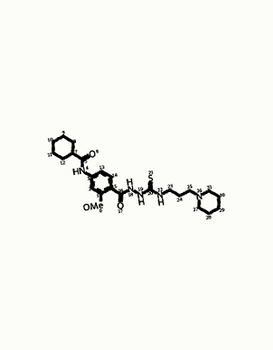 COc1cc(NC(=O)C2CCCCC2)ccc1C(=O)NNC(=S)NCCCN1CCCCC1